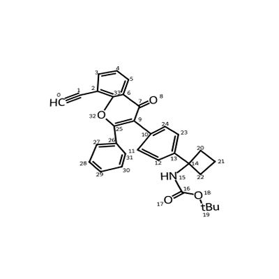 C#Cc1cccc2c(=O)c(-c3ccc(C4(NC(=O)OC(C)(C)C)CCC4)cc3)c(-c3ccccc3)oc12